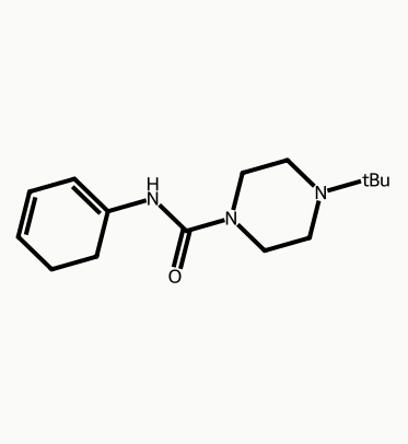 CC(C)(C)N1CCN(C(=O)NC2=CC=CCC2)CC1